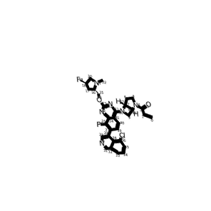 C=CC(=O)N1CC[C@@H]2[C@H]1CN2c1nc(OC[C@@H]2C[C@@H](F)CN2C)nc2c(F)c(-c3cncc4cccc(Cl)c34)ccc12